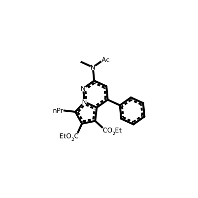 CCCc1c(C(=O)OCC)c(C(=O)OCC)c2c(-c3ccccc3)cc(N(C)C(C)=O)nn12